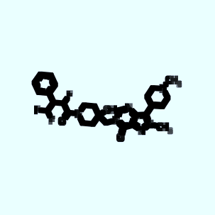 CN1CC=C(c2c3ncn(CC4(O)CCN(C(=O)C(F)C(c5ccccc5)C(F)F)CC4)c(=O)c3nn2C)CC1